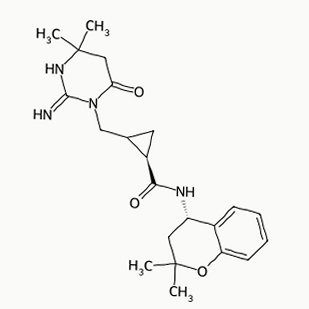 CC1(C)CC(=O)N(CC2C[C@H]2C(=O)N[C@H]2CC(C)(C)Oc3ccccc32)C(=N)N1